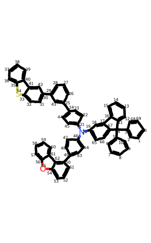 c1ccc(C2(c3ccccc3)c3ccccc3-c3cc(N(c4ccc(-c5cccc(-c6ccc7sc8ccccc8c7c6)c5)cc4)c4ccc(-c5cccc6oc7ccccc7c56)cc4)ccc32)cc1